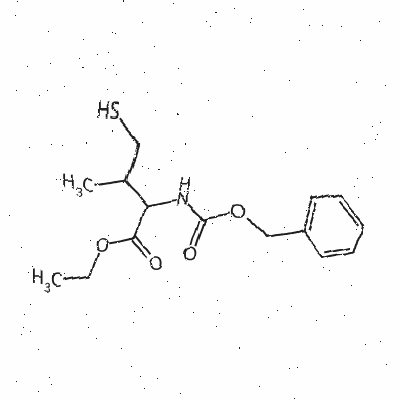 CCOC(=O)C(NC(=O)OCc1ccccc1)C(C)CS